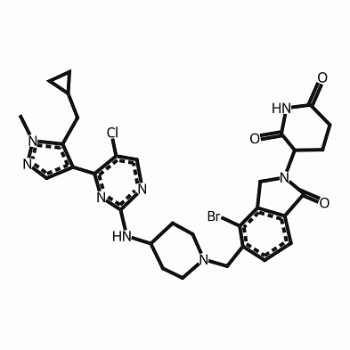 Cn1ncc(-c2nc(NC3CCN(Cc4ccc5c(c4Br)CN(C4CCC(=O)NC4=O)C5=O)CC3)ncc2Cl)c1CC1CC1